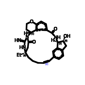 CC[C@]12CCC/C=C\c3ccc4c(c3)[C@@H](NC(=O)c3ccc5c(c3)[C@@H](CCO5)N(C(=N)N1)C(=O)C2)[C@H](O)C4